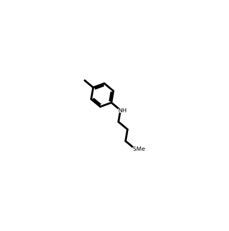 CSCCCNc1ccc(C)cc1